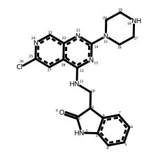 O=C1Nc2ccccc2C1CNc1nc(N2CCNCC2)nc2cnc(Cl)cc12